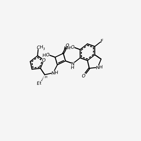 CC[C@@H](NC1=C(Nc2c(OC)cc(F)c3c2C(=O)NC3)C(=O)C1O)c1ccc(C)o1